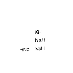 [KH].[NaH].[NaH].[NaH]